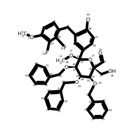 COc1ccc(Cc2cc([C@]3(OC)O[C@@](C=O)(CO)[C@@H](OCc4ccccc4)[C@H](OCc4ccccc4)[C@H]3OCc3ccccc3)ccc2Cl)c(F)c1F